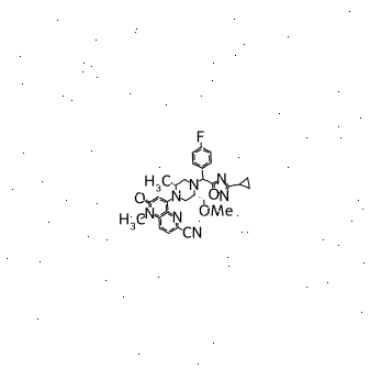 COC[C@@H]1CN(c2cc(=O)n(C)c3ccc(C#N)nc23)[C@@H](C)CN1C(c1ccc(F)cc1)c1nc(C2CC2)no1